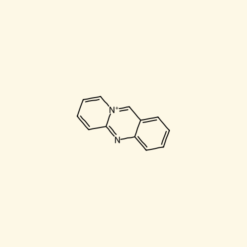 c1ccc2nc3cccc[n+]3cc2c1